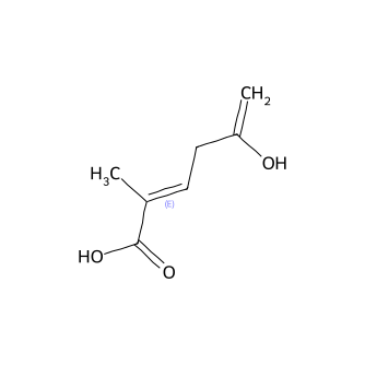 C=C(O)C/C=C(\C)C(=O)O